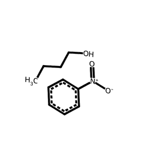 CCCCO.O=[N+]([O-])c1ccccc1